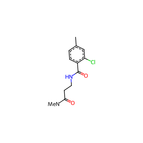 CNC(=O)CCNC(=O)c1ccc(C)cc1Cl